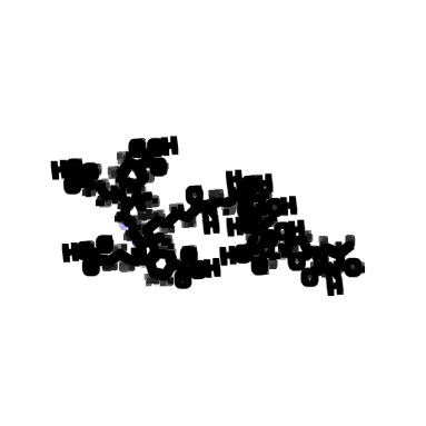 Cc1cn([C@H]2CC(O)[C@@H](COP(=O)(O)CP(=O)(O)CP(=O)(O)CP(=O)(O)NCCNC(=O)CCCCCC3(C)/C(=C\C=C\C4=[N+](CCCS(=O)(=O)O)c5ccc(S(=O)(=O)O)cc5C4(C)C)N(CCCS(=O)(=O)O)c4ccc(S(=O)(=O)O)cc43)O2)c(=O)[nH]c1=O